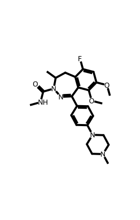 CNC(=O)N1N=C(c2ccc(N3CCN(C)CC3)cc2)c2c(c(F)cc(OC)c2OC)CC1C